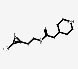 NC1=C(CCNC(=O)CC2CCNCC2)N1